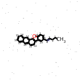 CCC/C=C/c1ccc2oc3c4cc5ccccc5cc4ccc3c2c1